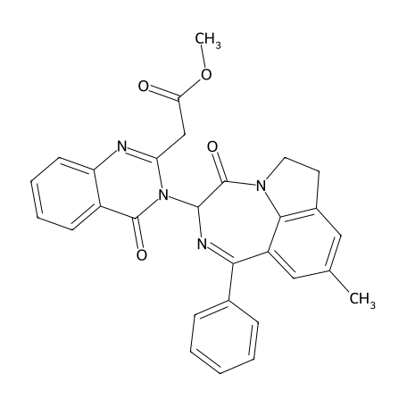 COC(=O)Cc1nc2ccccc2c(=O)n1C1N=C(c2ccccc2)c2cc(C)cc3c2N(CC3)C1=O